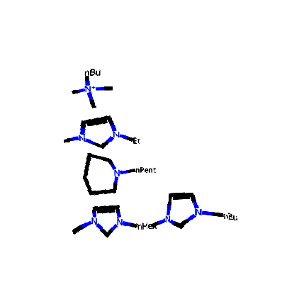 CCCCCCN1C=CN(C)C1.CCCCCN1CCCCC1.CCCCN1C=CN(C)C1.CCCC[N+](C)(C)C.CCN1C=CN(C)C1